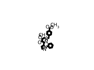 COC(=O)c1ccc(Cn2cc(OC)c(=O)c(-c3ccnn3-c3ccccc3)n2)cc1